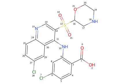 O=C(O)c1ccc(Cl)cc1Nc1c(S(=O)(=O)C2CNCCO2)cnc2ccc(Cl)cc12